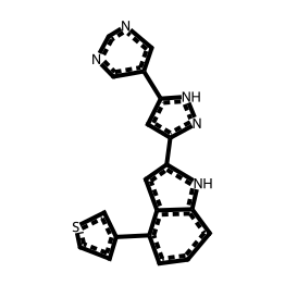 c1cc(-c2ccsc2)c2cc(-c3cc(-c4cncnc4)[nH]n3)[nH]c2c1